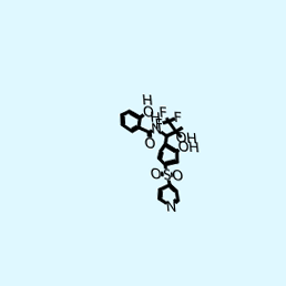 CC(O)(C(NC(=O)c1ccccc1O)c1ccc(S(=O)(=O)c2ccncc2)cc1O)C(F)(F)F